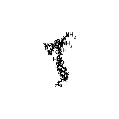 CC(C)CCC[C@@H](C)[C@H]1CCC2C3CC=C4CC(OC(=O)NCCCC(=O)N[C@H]5C[C@@H](C(=O)N(CCCN(C)C)CCCN(C)C)N(C(=O)[C@H](N)CCCCN)C5)CC[C@]4(C)C3CC[C@@]21C